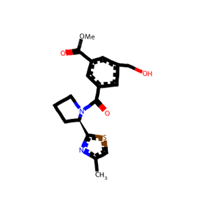 COC(=O)c1cc(CO)cc(C(=O)N2CCC[C@@H]2c2nc(C)cs2)c1